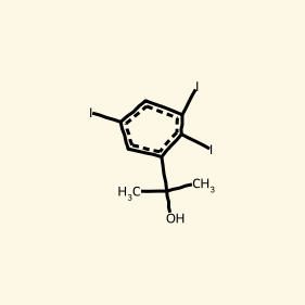 CC(C)(O)c1cc(I)cc(I)c1I